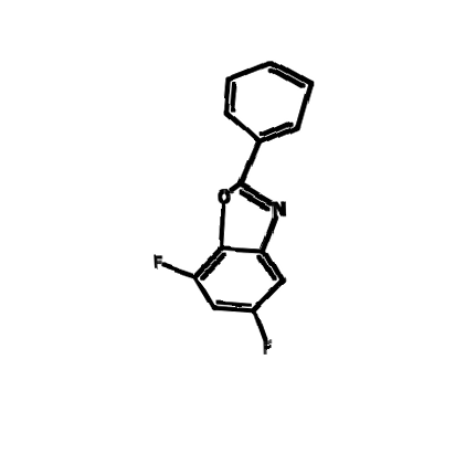 Fc1cc(F)c2oc(-c3ccccc3)nc2c1